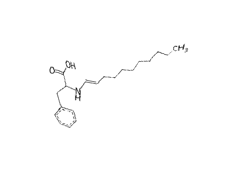 CCCCCCCCCC=CNC(Cc1ccccc1)C(=O)O